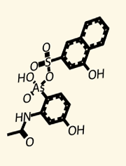 CC(=O)Nc1cc(O)ccc1[As](=O)(O)OS(=O)(=O)c1cc(O)c2ccccc2c1